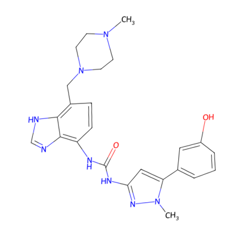 CN1CCN(Cc2ccc(NC(=O)Nc3cc(-c4cccc(O)c4)n(C)n3)c3nc[nH]c23)CC1